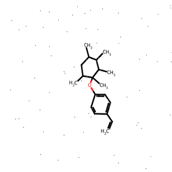 C=Cc1ccc(OC2(C)C(C)CC(C)C(C)C2C)cc1